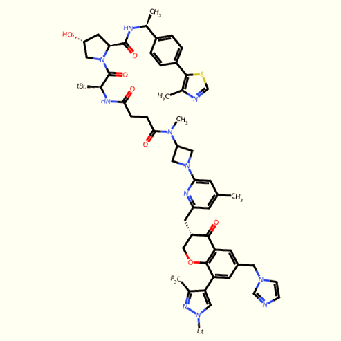 CCn1cc(-c2cc(Cn3ccnc3)cc3c2OC[C@H](Cc2cc(C)cc(N4CC(N(C)C(=O)CCC(=O)N[C@H](C(=O)N5C[C@H](O)C[C@H]5C(=O)N[C@@H](C)c5ccc(-c6scnc6C)cc5)C(C)(C)C)C4)n2)C3=O)c(C(F)(F)F)n1